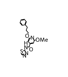 COc1cc(C(=O)Nc2nncs2)cc(OCCCc2ccccc2)n1